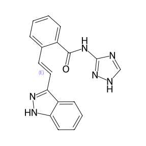 O=C(Nc1nc[nH]n1)c1ccccc1/C=C/c1n[nH]c2ccccc12